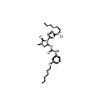 CCCCCCOc1cccc(NC(=O)OC2CN(C)C(=O)N2c2nnc([S+]([O-])CCCCCC)s2)c1